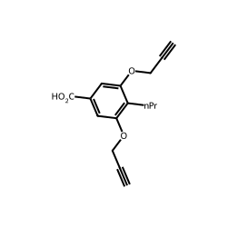 C#CCOc1cc(C(=O)O)cc(OCC#C)c1CCC